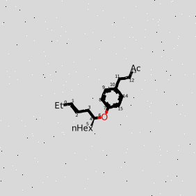 CC/C=C/C[C@H](CCCCCC)Oc1ccc(CCC(C)=O)cc1